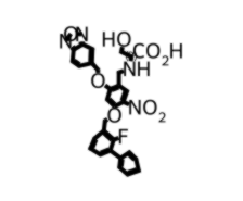 O=C(O)[C@@H](CO)NCc1cc([N+](=O)[O-])c(OCc2cccc(-c3ccccc3)c2F)cc1OCc1ccc2nonc2c1